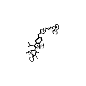 Cc1c(-c2[nH]c3ccc(CC4CN(CCC[SH](=O)=O)C4)cc3c2C(C)C)cn(C)c(=O)c1C